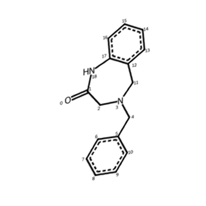 O=C1CN(Cc2ccccc2)Cc2ccccc2N1